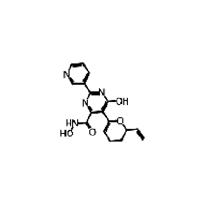 C=CC1CCC=C(c2c(O)nc(-c3cccnc3)nc2C(=O)NO)O1